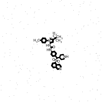 Cc1ccc(-n2nc(C(C)(C)C)cc2NC(=O)Nc2ccc(C(C3CCNCC3)S(=O)(=O)c3cccc4cnccc34)cc2)cc1